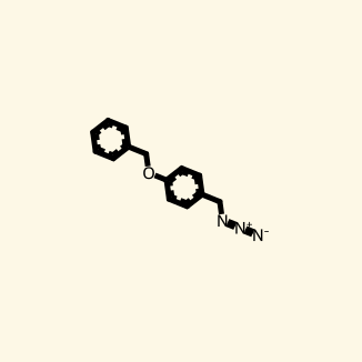 [N-]=[N+]=NCc1ccc(OCc2ccccc2)cc1